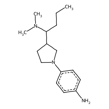 CCCC(C1CCN(c2ccc(N)cc2)C1)N(C)C